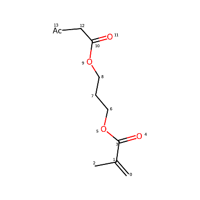 C=C(C)C(=O)OCCCOC(=O)CC(C)=O